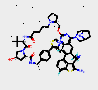 Cc1ncsc1-c1ccc([C@H](C)NC(=O)[C@@H]2C[C@@H](O)CN2C(=O)[C@@H](NC(=O)CCCCN2CCC[C@H]2COc2nc(N3CC4CCC(C3)N4)c3cc(C(F)(F)F)c(-c4ccc(F)c5sc(N)c(C#N)c45)c(F)c3n2)C(C)(C)C)cc1